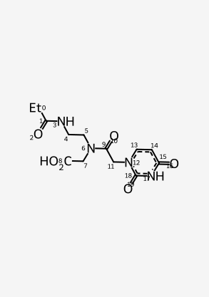 CCC(=O)NCCN(CC(=O)O)C(=O)Cn1ccc(=O)[nH]c1=O